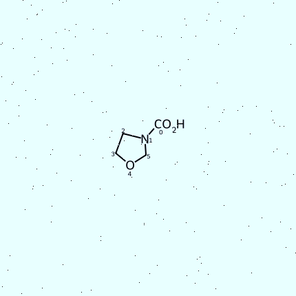 O=C(O)N1CCOC1